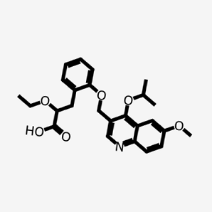 CCOC(Cc1ccccc1OCc1cnc2ccc(OC)cc2c1OC(C)C)C(=O)O